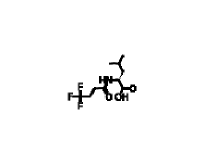 CC(C)C[C@@H](NC(=O)CCC(F)(F)F)C(=O)O